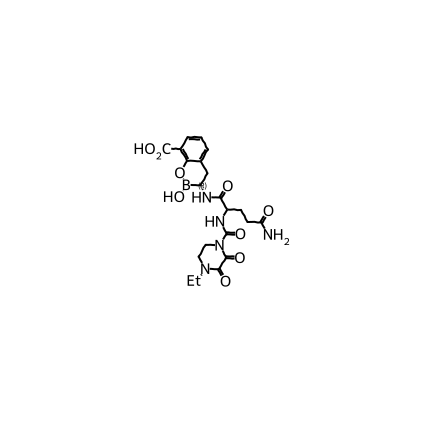 CCN1CCN(C(=O)NC(CCC(N)=O)C(=O)N[C@H]2Cc3cccc(C(=O)O)c3OB2O)C(=O)C1=O